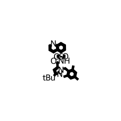 Cc1cc(C)c(Cn2nc(C(C)(C)C)cc2C(=O)NS(=O)(=O)c2cccc3ncccc23)c(C)c1